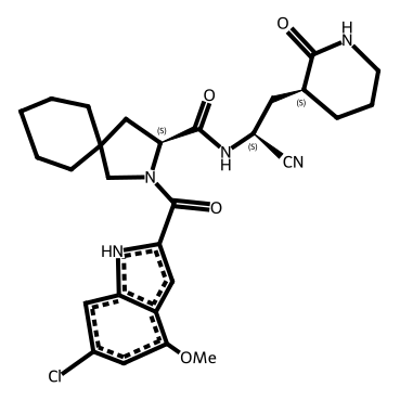 COc1cc(Cl)cc2[nH]c(C(=O)N3CC4(CCCCC4)C[C@H]3C(=O)N[C@H](C#N)C[C@@H]3CCCNC3=O)cc12